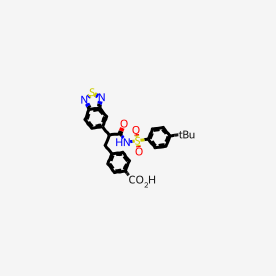 CC(C)(C)c1ccc(S(=O)(=O)NC(=O)C(Cc2ccc(C(=O)O)cc2)c2ccc3nsnc3c2)cc1